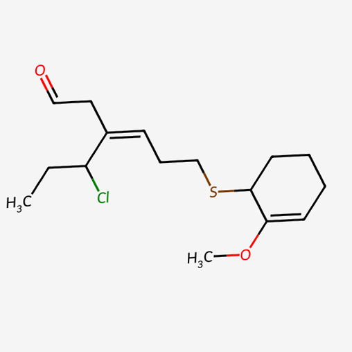 CCC(Cl)/C(=C\CCSC1CCCC=C1OC)CC=O